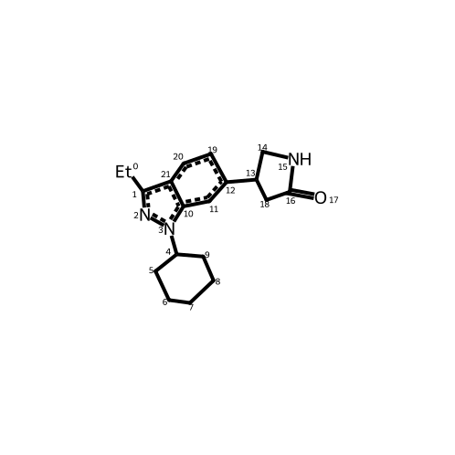 CCc1nn(C2CCCCC2)c2cc(C3CNC(=O)C3)ccc12